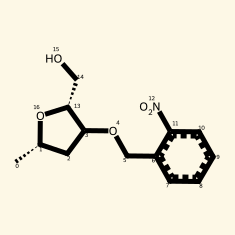 C[C@H]1CC(OCc2ccccc2[N+](=O)[O-])[C@@H](CO)O1